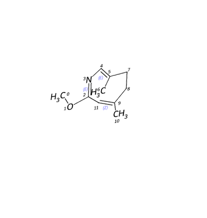 COC1=N/C=C(\C)CC/C(C)=C\1